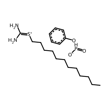 CCCCCCCCCCCC[S+]=C(N)N.O=[PH]([O-])Oc1ccccc1